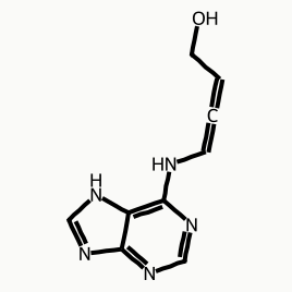 OCC=C=CNc1ncnc2nc[nH]c12